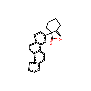 C=C1CCCCC1(C(=O)O)c1ccc2ccc3c4ccccc4ccc3c2c1